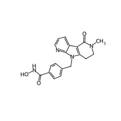 CN1CCc2c(c3cccnc3n2Cc2ccc(C(=O)NO)cc2)C1=O